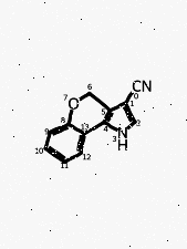 N#Cc1c[nH]c2c1COc1ccccc1-2